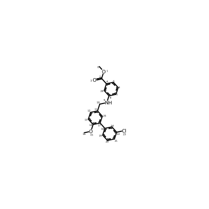 COC(=O)c1cccc(NCc2ccc(OC)c(-c3cccc(Cl)c3)c2)c1